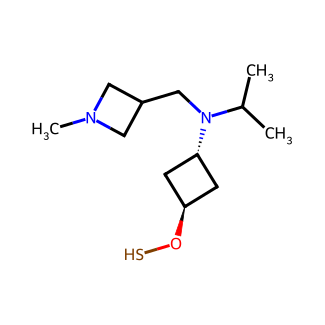 CC(C)N(CC1CN(C)C1)[C@H]1C[C@H](OS)C1